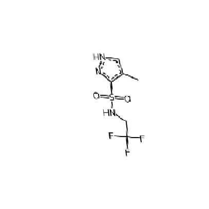 Cc1c[nH]nc1S(=O)(=O)NCC(F)(F)F